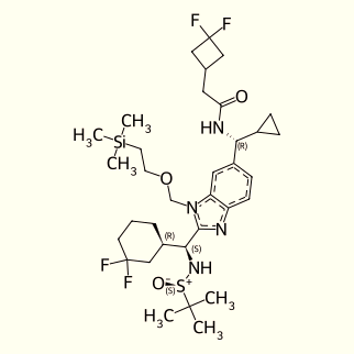 CC(C)(C)[S@@+]([O-])N[C@H](c1nc2ccc([C@H](NC(=O)CC3CC(F)(F)C3)C3CC3)cc2n1COCC[Si](C)(C)C)[C@@H]1CCCC(F)(F)C1